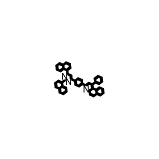 c1ccc(-c2cc(-c3ccc(-c4cc(-c5cccc6ccccc56)nc(-c5cccc6ccccc56)n4)cc3)nc3ccc4ccccc4c23)cc1